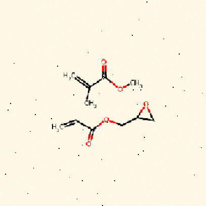 C=C(C)C(=O)OC.C=CC(=O)OCC1CO1